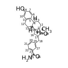 C[C@@]12CC[C@@H]3c4ccc(O)cc4CC[C@H]3[C@@H]1CC(Cc1cccc(C(N)=O)c1)C2=O